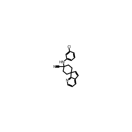 N#CC1(Nc2cccc(Cl)c2)CCC2(C=Cc3cccnc32)CC1